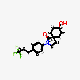 O=C1N(c2ccc(CCC(F)(F)F)cc2)CCC12CCC(O)CC2